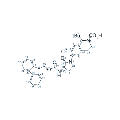 CC(C)(C)C1c2cc(Cl)c(N3CC[C@H](NC(=O)OCC4c5ccccc5-c5ccccc54)C3=O)cc2CCN1C(=O)O